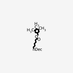 CCCCCCCCCCCCCCCC(=O)OCc1cc(C)c(C)c(C)c1